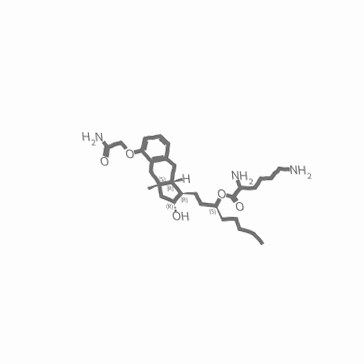 CCCCC[C@@H](CC[C@H]1[C@H](O)C[C@]2(C)Cc3c(cccc3OCC(N)=O)C[C@H]12)OC(=O)C(N)CCCCN